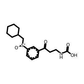 O=C(O)NCCC(=O)c1cccc([S+]([O-])CC2CCCCC2)c1